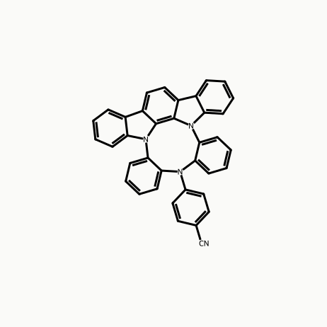 N#Cc1ccc(-n2c3ccccc3n3c4ccccc4c4ccc5c6ccccc6n(c6ccccc62)c5c43)cc1